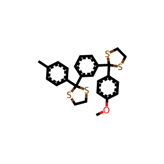 COc1ccc(C2(c3cccc(C4(c5ccc(C)cc5)SCCS4)c3)SCCS2)cc1